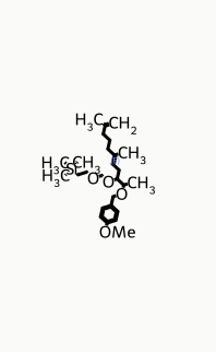 C=C(C)CCC/C(C)=C/CC(OCOCC[Si](C)(C)C)C(C)OCc1ccc(OC)cc1